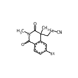 CCc1ccc2c(c1)C(C)(C[Se]C#N)C(=O)N(C)C2=O